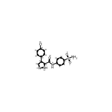 NS(=O)(=O)c1ccc(NC(=O)c2[nH]ncc2-c2ccc(Cl)cc2)cc1